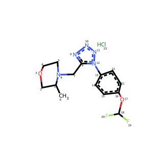 CC1COCCN1Cc1nnnn1-c1ccc(OC(F)F)cc1.Cl